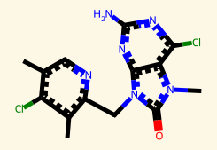 Cc1cnc(Cn2c(=O)n(C)c3c(Cl)nc(N)nc32)c(C)c1Cl